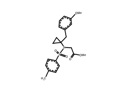 COC(=O)CN(C1(Cc2cccc(OC)c2)CC1)S(=O)(=O)c1ccc(C)cc1